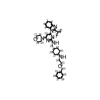 FC(F)c1nc2ccccc2n1-c1cc(N2CCOCC2)nc(NC[C@H]2CC[C@H](NCCOCc3ccccc3)CC2)n1